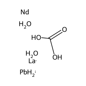 O.O.O=C(O)O.[La].[Nd].[PbH2]